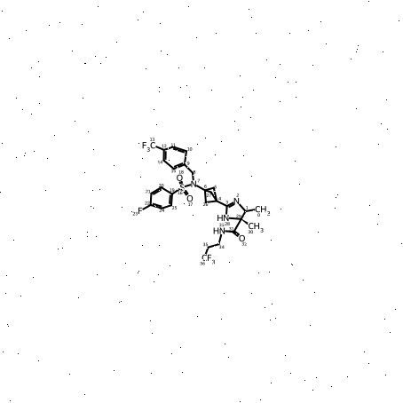 CC1N=C(C23CC(N(Cc4ccc(C(F)(F)F)cc4)S(=O)(=O)c4ccc(F)cc4)(C2)C3)N[C@@]1(C)C(=O)NCCC(F)(F)F